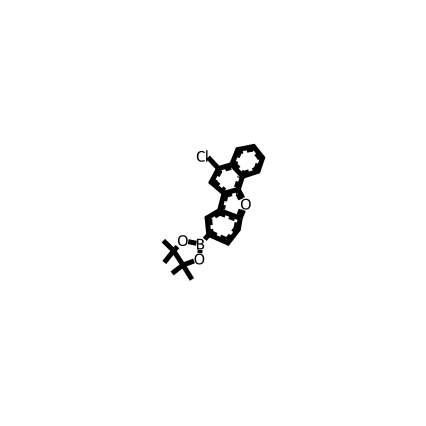 CC1(C)OB(c2ccc3oc4c5ccccc5c(Cl)cc4c3c2)OC1(C)C